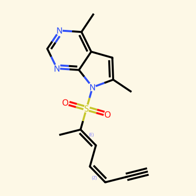 C#C/C=C\C=C(/C)S(=O)(=O)n1c(C)cc2c(C)ncnc21